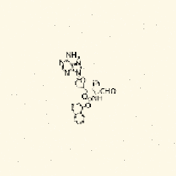 CC(C)CC(C=O)NP(OCC1CC[C@H](n2cnc3c(N)ncnc32)O1)Oc1cccc2ccccc12